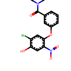 CN(C)C(=O)c1cccc(Oc2cc(Br)c(O)cc2[N+](=O)[O-])c1